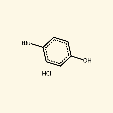 CC(C)(C)c1ccc(O)cc1.Cl